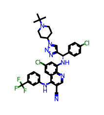 CC(C)(C)N1CCC(n2cc([C@@H](Nc3cc(Cl)cc4c(Nc5cccc(C(F)(F)F)c5)c(C#N)cnc34)c3ccc(Cl)cc3)nn2)CC1